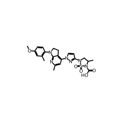 COc1ccc(N2CCc3c(-n4ccc(N5CC(C)N(C(=O)O)S5(=O)=O)n4)cc(C)nc32)c(C)c1